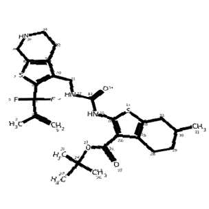 C=C(C)C(F)(F)c1sc2c(c1CNC(=O)Nc1sc3c(c1C(=O)OC(C)(C)C)CCC(C)C3)CCNC2